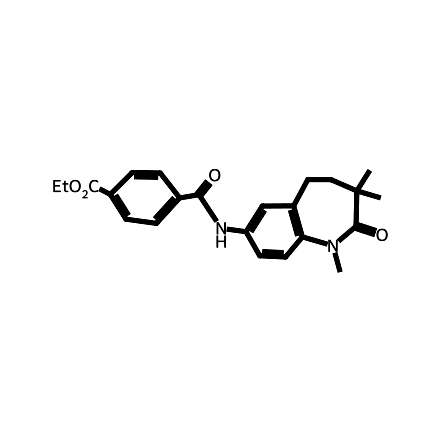 CCOC(=O)c1ccc(C(=O)Nc2ccc3c(c2)CCC(C)(C)C(=O)N3C)cc1